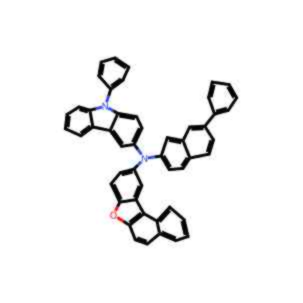 c1ccc(-c2ccc3ccc(N(c4ccc5oc6ccc7ccccc7c6c5c4)c4ccc5c(c4)c4ccccc4n5-c4ccccc4)cc3c2)cc1